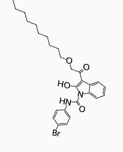 CCCCCCCCCCOCC(=O)c1c(O)n(C(=O)Nc2ccc(Br)cc2)c2ccccc12